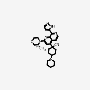 C[C@@H]1COCCN1c1cc(C2(C#N)CCC(N3CCCCC3)CC2)c2ccnc(-c3ccn[nH]3)c2n1